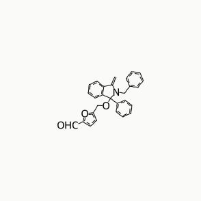 C=C1c2ccccc2C(OCc2ccc(C=O)o2)(c2ccccc2)N1Cc1ccccc1